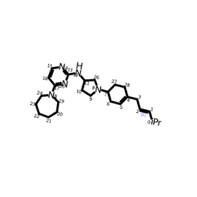 CC(C)/C=C/CC1=CCC(N2CCC(Nc3nccc(N4CCCCCC4)n3)C2)CC1